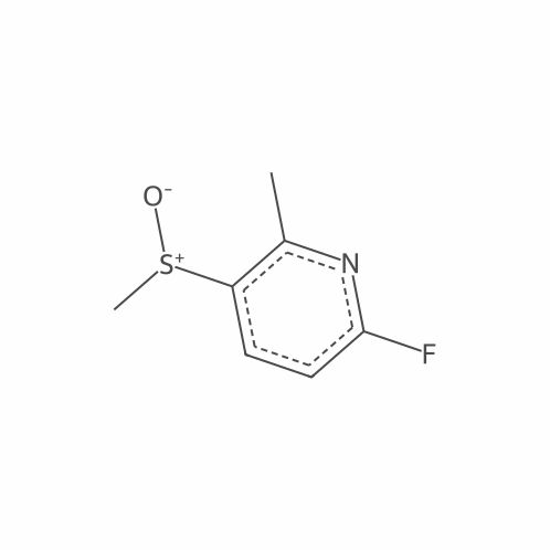 Cc1nc(F)ccc1[S+](C)[O-]